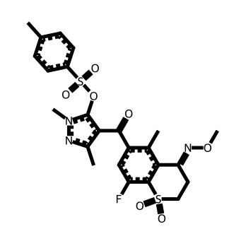 CO/N=C1\CCS(=O)(=O)c2c(F)cc(C(=O)c3c(C)nn(C)c3OS(=O)(=O)c3ccc(C)cc3)c(C)c21